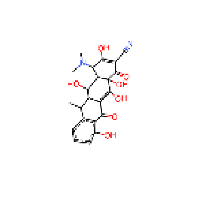 CC1c2cccc(O)c2C(=O)C2=C(O)C3(O)C(=O)C(C#N)=C(O)C(N(C)C)C3C(O)C21